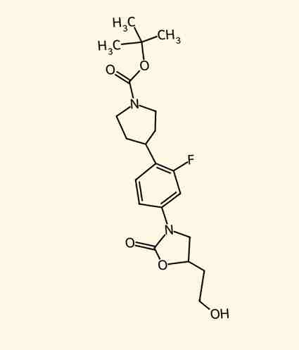 CC(C)(C)OC(=O)N1CCC(c2ccc(N3CC(CCO)OC3=O)cc2F)CC1